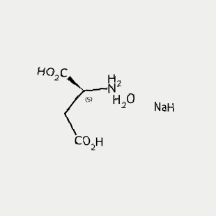 N[C@@H](CC(=O)O)C(=O)O.O.[NaH]